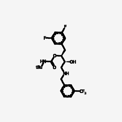 CC(C)(C)NC(=O)O[C@@H](Cc1cc(F)cc(F)c1)[C@H](O)CNCc1cccc(C(F)(F)F)c1